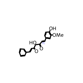 COc1cc(/C=C/C(=O)C(O)C(=O)C=Cc2ccccc2)ccc1O